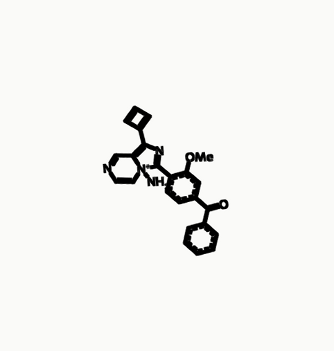 COc1cc(C(=O)c2ccccc2)ccc1C1=NC(C2=CC=C2)=C2C=NC=C[N+]12N